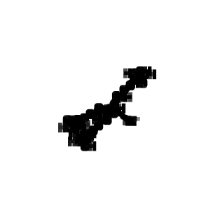 [N-]=[N+]=NCCCCCC(=O)NC(COCCC(=O)NCCOCCOCCO[C@H]1OC(CO)[C@@H](O)C(O)C1O)(COCCC(=O)NCCOCCOCCO[C@H]1OC(CO)[C@@H](O)C(O)C1O)COCCC(=O)NCCOCCOCCO[C@H]1OC(CO)[C@@H](O)C(O)C1O